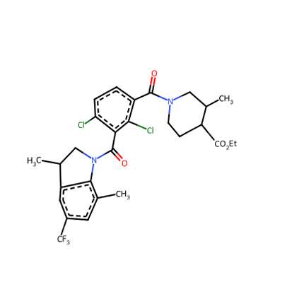 CCOC(=O)C1CCN(C(=O)c2ccc(Cl)c(C(=O)N3CC(C)c4cc(C(F)(F)F)cc(C)c43)c2Cl)CC1C